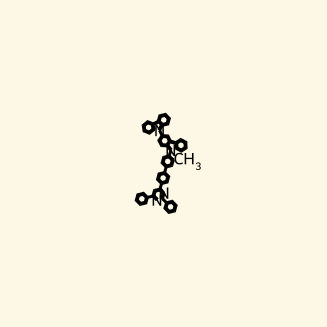 Cc1cc(-c2ccc(-c3cc(-c4ccccc4)nc(-c4ccccc4)n3)cc2)ccc1-n1c2ccccc2c2cc(-n3c4ccccc4c4ccccc43)ccc21